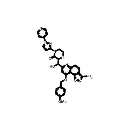 COc1ccc(COc2cc(C(O)C3OCCN(c4ccn(-c5ccncc5)n4)C3=O)nc3ccc4c(N)noc4c23)cc1